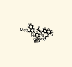 COCCCN1C(=O)C(C)(C)Oc2ccc(N(C(=O)[C@@H]3C[C@H](C(=O)N[C@@H](COC)C4CCCCC4)CN(C(=O)OC(C)(C)C)C3)C3CC3)cc21